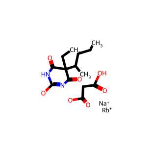 CCCC(C)C1(CC)C(=O)N=C([O-])NC1=O.O=C([O-])CC(=O)O.[Na+].[Rb+]